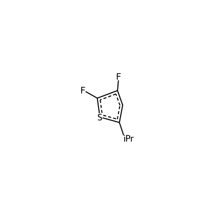 CC(C)c1cc(F)c(F)s1